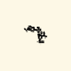 CC(=O)N(C)c1cnc(Nc2nc(-c3cc4c(cn3)N(C(C)C)CC4)ns2)c(C(F)F)c1